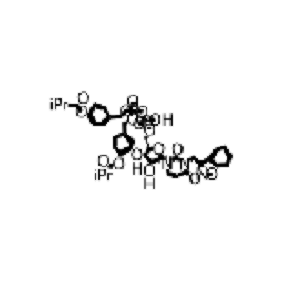 CC(C)C(=O)Oc1ccc(COP(=O)(OCc2ccc(OC(=O)C(C)C)cc2)OP(=O)(O)OC[C@H]2O[C@@H](n3ccc(=O)n(Cc4noc5ccccc45)c3=O)C(O)C2O)cc1